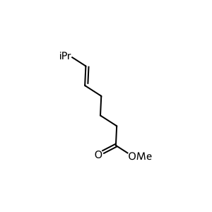 COC(=O)CCC/C=C/C(C)C